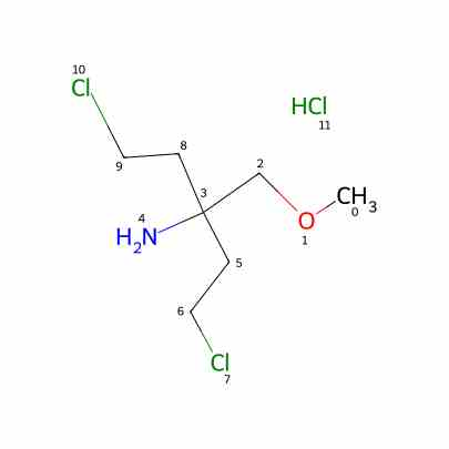 COCC(N)(CCCl)CCCl.Cl